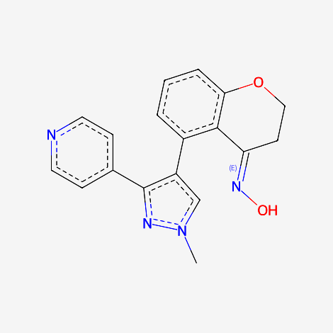 Cn1cc(-c2cccc3c2/C(=N/O)CCO3)c(-c2ccncc2)n1